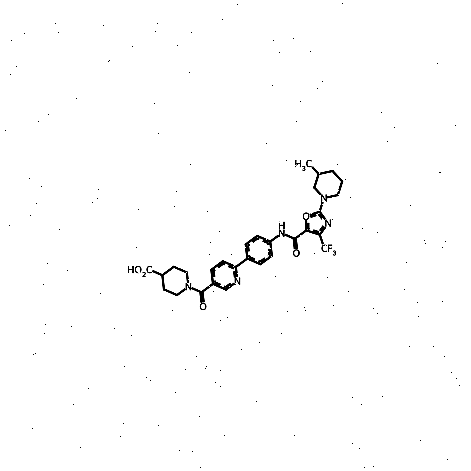 CC1CCCN(c2nc(C(F)(F)F)c(C(=O)Nc3ccc(-c4ccc(C(=O)N5CCC(C(=O)O)CC5)cn4)cc3)o2)C1